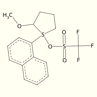 COC1CCCS1(OS(=O)(=O)C(F)(F)F)c1cccc2ccccc12